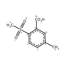 Cc1ccc(S(C)(=O)=O)c(C(=O)O)c1